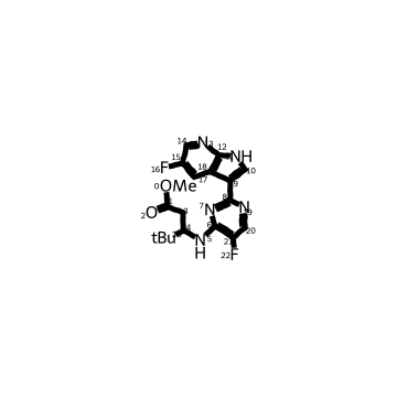 COC(=O)CC(Nc1nc(-c2c[nH]c3ncc(F)cc23)ncc1F)C(C)(C)C